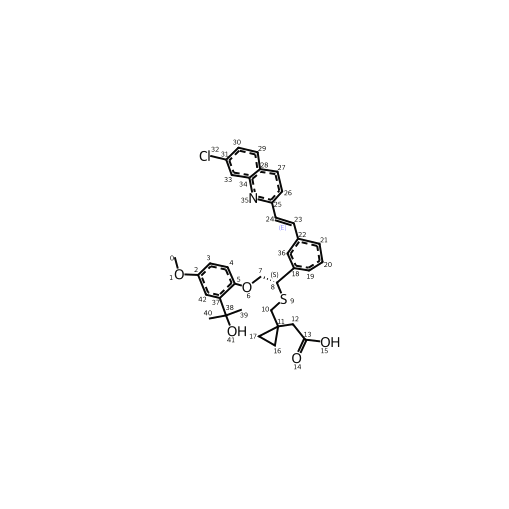 COc1ccc(OC[C@@H](SCC2(CC(=O)O)CC2)c2cccc(/C=C/c3ccc4ccc(Cl)cc4n3)c2)c(C(C)(C)O)c1